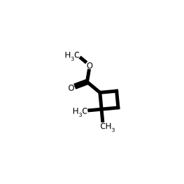 COC(=O)C1CCC1(C)C